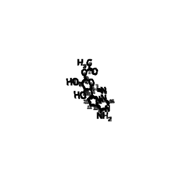 CC(=O)O[C@H]1O[C@@](C#N)(c2ccc3c(N)ncnn23)[C@H](O)[C@@H]1O